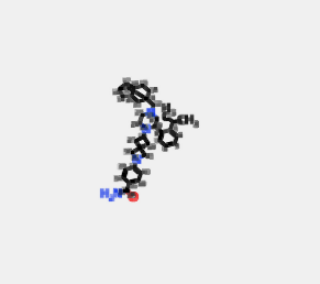 CC(C)c1ccccc1[C@@H]1CN(CC23CCC4CC(CC4C2)C3)CCN1C1CC2(C1)CN(c1ccc(C(N)=O)cc1)C2